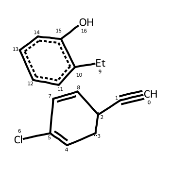 C#C[C]1[C]C=C(Cl)C=C1.CCc1ccccc1O